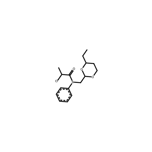 CCC1CCOC(CN(C(=O)C(C)Cl)c2ccccc2)O1